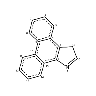 C1=Nc2c(c3ccccc3c3ccccc23)C1